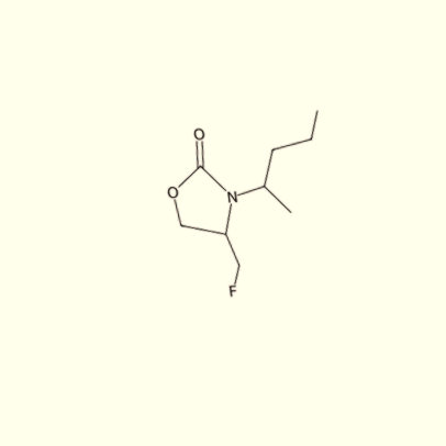 CCCC(C)N1C(=O)OCC1CF